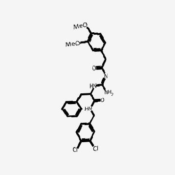 COc1ccc(CC(=O)N=C(N)NC(Cc2ccccc2)C(=O)NCc2ccc(Cl)c(Cl)c2)cc1OC